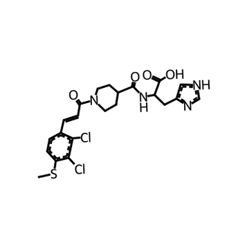 CSc1ccc(C=CC(=O)N2CCC(C(=O)NC(Cc3c[nH]cn3)C(=O)O)CC2)c(Cl)c1Cl